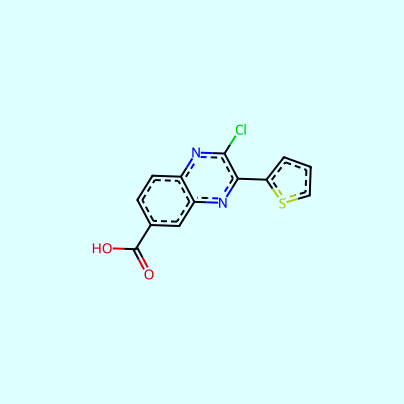 O=C(O)c1ccc2nc(Cl)c(-c3cccs3)nc2c1